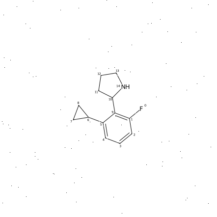 Fc1cccc(C2CC2)c1C1CCCN1